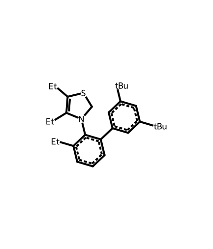 CCC1=C(CC)N(c2c(CC)cccc2-c2cc(C(C)(C)C)cc(C(C)(C)C)c2)CS1